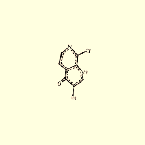 CCc1c[nH]c2c(Cl)nccc2c1=O